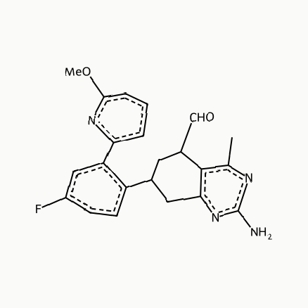 COc1cccc(-c2cc(F)ccc2C2Cc3nc(N)nc(C)c3C(C=O)C2)n1